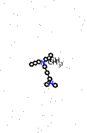 CC1(C)c2ccccc2-c2ccc(N(c3ccc(-c4ccc(-c5ccc6c(c5)c5ccccc5n6-c5ccccc5)cc4)cc3)c3ccc4cc5ccccc5cc4c3)cc21